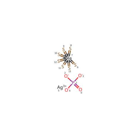 O=P([O-])([O-])[O-].[Ag+3].[S]=[Re](=[S])(=[S])(=[S])(=[S])(=[S])=[S]